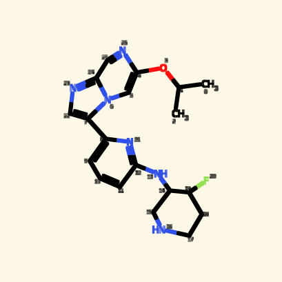 CC(C)Oc1cn2c(-c3cccc(NC4CNCCC4F)n3)cnc2cn1